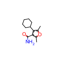 Cc1oc(C)c(C2CCCCC2)c1C(N)=O